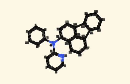 c1ccc(N(c2ccccn2)c2ccc3c4c(cccc24)-c2ccccc2-3)cc1